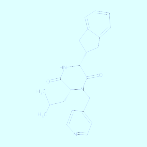 CC(C)C[C@@H]1C(=O)N[C@H](C2Cc3ccccc3C2)C(=O)N1Cc1ccncc1